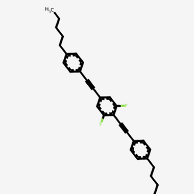 CCCCCc1ccc(C#Cc2cc(F)c(C#Cc3ccc(CCCCC)cc3)c(F)c2)cc1